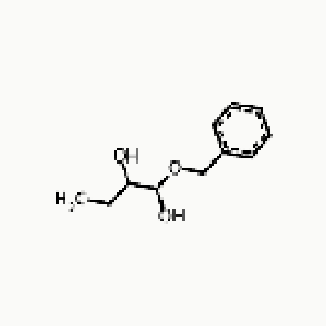 CCC(O)C(O)OCc1ccccc1